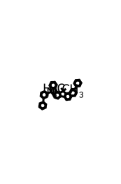 CC1(C)c2c(ccc3ccc(-c4ccccc4)cc23)-c2ccc3c(c21)c1ccccc1n3-c1cccc(-c2ccccc2)c1